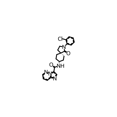 O=C(N[C@H]1CC[C@@]2(CCN(c3ccccc3Cl)C2=O)CC1)c1cnc2cccnn12